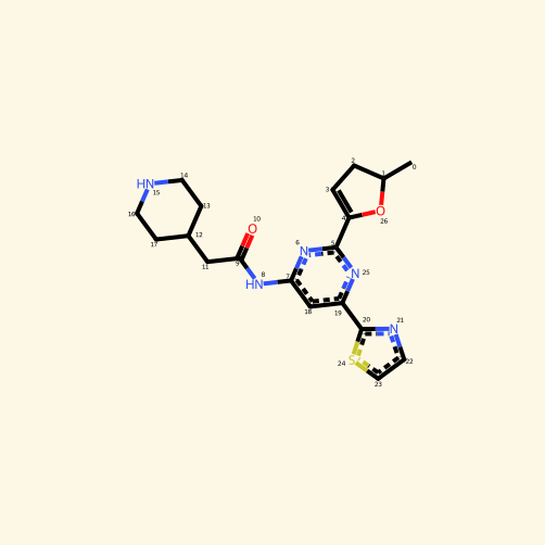 CC1CC=C(c2nc(NC(=O)CC3CCNCC3)cc(-c3nccs3)n2)O1